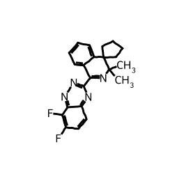 CC1(C)N=C(c2nnc3c(F)c(F)ccc3n2)c2ccccc2C12CCCC2